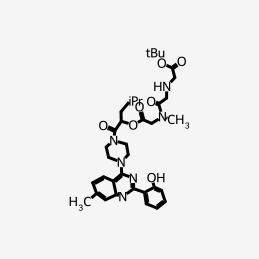 Cc1ccc2c(N3CCN(C(=O)C(CC(C)C)OC(=O)CN(C)C(=O)CNCC(=O)OC(C)(C)C)CC3)nc(-c3ccccc3O)nc2c1